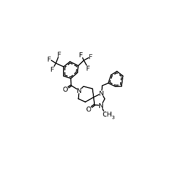 CN1CN(Cc2ccccc2)C2(CCN(C(=O)c3cc(C(F)(F)F)cc(C(F)(F)F)c3)CC2)C1=O